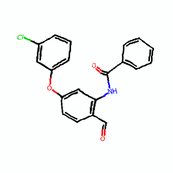 O=Cc1ccc(Oc2cccc(Cl)c2)cc1NC(=O)c1ccccc1